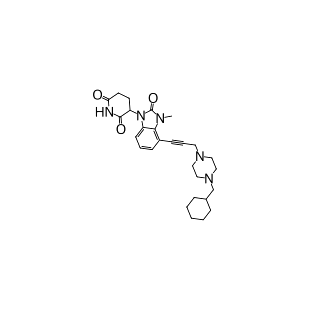 Cn1c(=O)n(C2CCC(=O)NC2=O)c2cccc(C#CCN3CCN(CC4CCCCC4)CC3)c21